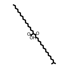 CCCCCCCCCCCCCCCCC(C(=O)O)C(=O)CCCCCCCCCCCCCCC(C)C